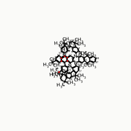 Cc1cc2c(cc1N1c3cc4c(cc3B3c5ccc6c(c5N(c5ccc(C(C)(C)C)cc5-c5ccccc5)c5cc(N(c7ccc(C(C)(C)C)cc7)c7ccc(C(C)(C)C)cc7)cc1c53)-c1cc3c(cc1C6(C)C)C(C)(C)CCC3(C)C)C(C)(C)c1ccccc1C4(C)C)C(C)(C)CCC2(C)C